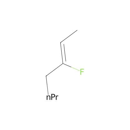 CC=C(F)CCCC